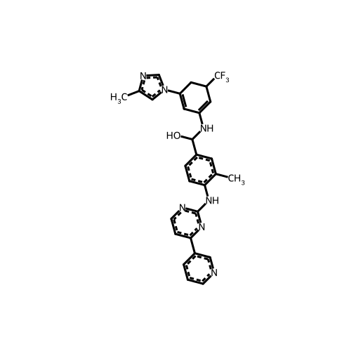 Cc1cn(C2=CC(NC(O)c3ccc(Nc4nccc(-c5cccnc5)n4)c(C)c3)=CC(C(F)(F)F)C2)cn1